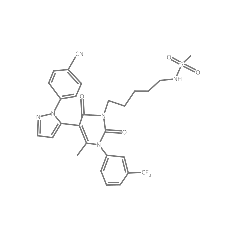 Cc1c(-c2ccnn2-c2ccc(C#N)cc2)c(=O)n(CCCCCNS(C)(=O)=O)c(=O)n1-c1cccc(C(F)(F)F)c1